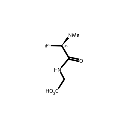 CN[C@@H](C(=O)NCC(=O)O)C(C)C